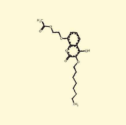 CCCCCCCCOc1c(O)c2cccc(OCCOC(C)=O)c2oc1=O